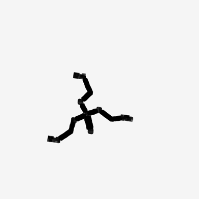 CSCOP(=O)(OCSC)OCSC